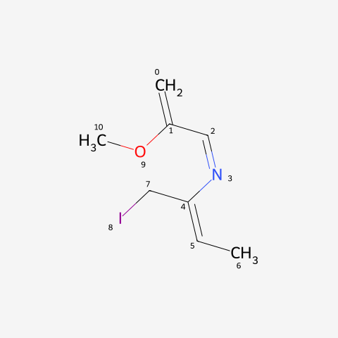 C=C(/C=N\C(=C/C)CI)OC